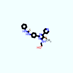 CSc1c(NCCO)nc(-c2ccc(NC(=S)Nc3ccccc3)cc2)nc1-c1ccncc1